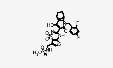 CS(=O)(=O)NCc1csc2c1S(=O)(=O)N=C(C1=C(O)C3C4CCC(C4)C3N(Cc3ccc(F)cc3F)C1=O)N2